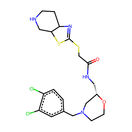 O=C(CSC1=NC2CCNCC2S1)NC[C@H]1CN(Cc2ccc(Cl)c(Cl)c2)CCO1